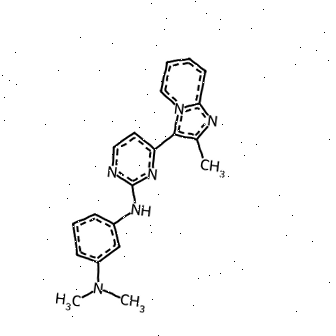 Cc1nc2ccccn2c1-c1ccnc(Nc2cccc(N(C)C)c2)n1